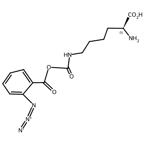 [N-]=[N+]=Nc1ccccc1C(=O)OC(=O)NCCCC[C@H](N)C(=O)O